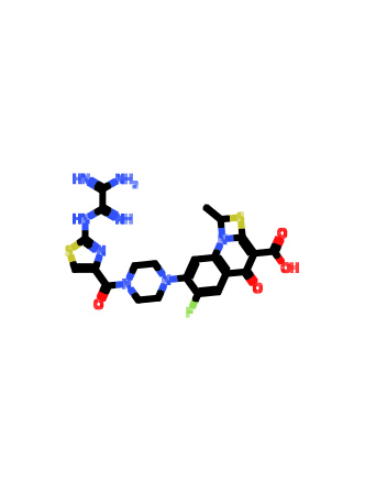 CC1Sc2c(C(=O)O)c(=O)c3cc(F)c(N4CCN(C(=O)c5csc(NC(=N)C(=N)N)n5)CC4)cc3n21